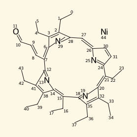 CCC1=C(CC)C2=C(C=CC=O)C3=NC(=C(CC)C4=NC(=C(CC)C5=NC(=CC1=N2)C=C5)C(CC)=C4CC)C(CC)=C3CC.[Ni]